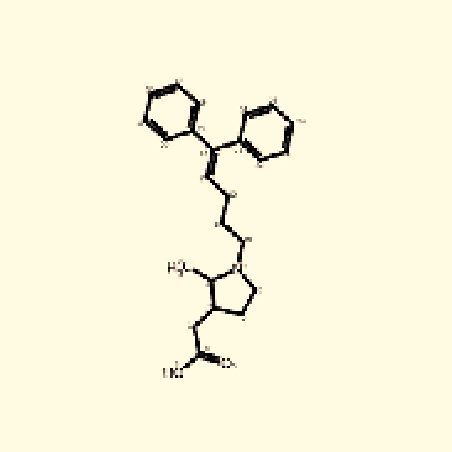 CC1C(CC(=O)O)CCN1CCCC=C(c1ccccc1)c1ccccc1